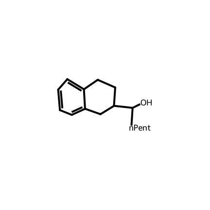 CCCCCC(O)C1CCc2ccccc2C1